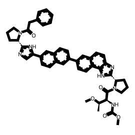 COC(=O)N[C@H](C(=O)N1CCC[C@H]1c1nc2ccc3cc(-c4ccc5cc(-c6cnc([C@@H]7CCCN7C(=O)Cc7ccccc7)[nH]6)ccc5c4)ccc3c2[nH]1)[C@@H](C)OC